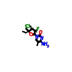 CC[C@@]1(CCl)O[C@@H](n2cc(C)c(N)nc2=O)[C@H](F)[C@@H]1C